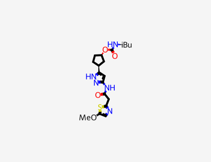 CC[C@H](C)NC(=O)O[C@@H]1CC[C@H](c2cc(NC(=O)Cc3ncc(OC)s3)n[nH]2)C1